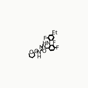 CCc1ccc(Nc2c(-c3nnc(NOC4CCCCO4)o3)ccc(F)c2F)c(F)c1